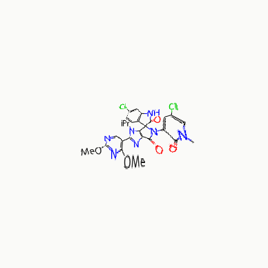 COc1ncc(-c2nc3c(n2C(C)C)C2(C(=O)Nc4cc(Cl)ccc42)N(c2cc(Cl)cn(C)c2=O)C3=O)c(OC)n1